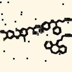 CNCCC(Oc1ccc(C(F)(F)F)cc1)c1ccccc1.CNCCC=C1c2ccccc2CCc2ccccc21.N[C@@H](Cc1cc(I)c(Oc2ccc(O)c(I)c2)c(I)c1)C(=O)O